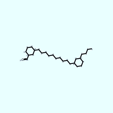 CCCCC1CCCC(CCCCCCCCCCC2CCCC(C=O)C2)C1